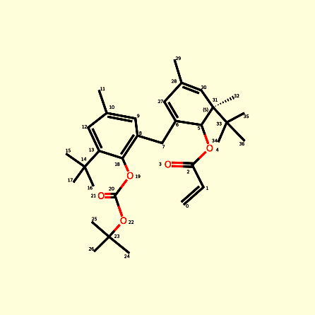 C=CC(=O)OC1C(Cc2cc(C)cc(C(C)(C)C)c2OC(=O)OC(C)(C)C)=CC(C)=C[C@@]1(C)C(C)(C)C